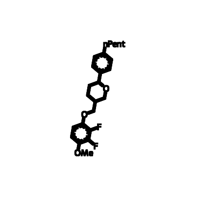 CCCCCc1ccc(C2CCC(COc3ccc(OC)c(F)c3F)CO2)cc1